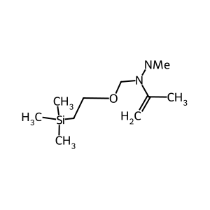 C=C(C)N(COCC[Si](C)(C)C)NC